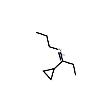 CCC/N=C(/CC)C1CC1